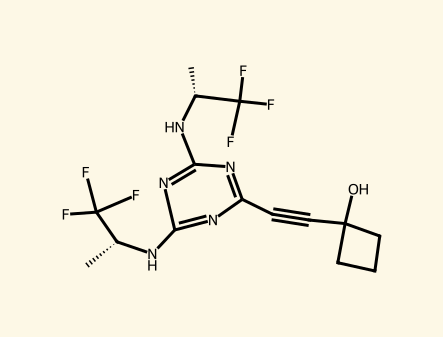 C[C@@H](Nc1nc(C#CC2(O)CCC2)nc(N[C@H](C)C(F)(F)F)n1)C(F)(F)F